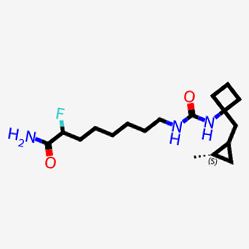 C[C@H]1CC1CC1(NC(=O)NCCCCCCC(F)C(N)=O)CCC1